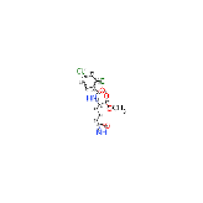 COC(=O)C(CCCC([NH])=O)NC(=O)c1ccc(Cl)cc1Cl